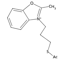 CC(=O)SCCC[n+]1c(C)oc2ccccc21